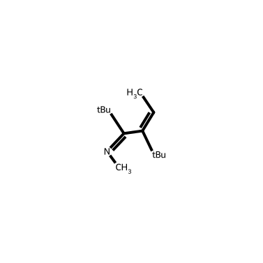 C/C=C(\C(=N/C)C(C)(C)C)C(C)(C)C